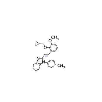 COc1cccc(/C=C/c2nc3ccccc3n2-c2ccc(C)cc2)c1OCC1CC1